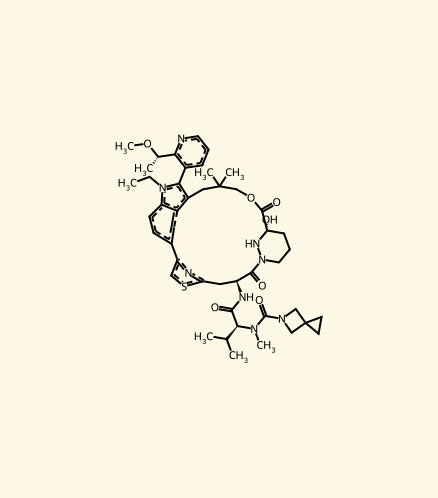 CCn1c(-c2cccnc2[C@H](C)OC)c2c3cc(ccc31)-c1csc(n1)C[C@H](NC(=O)[C@H](C(C)C)N(C)C(=O)N1CC3(CC3)C1)C(=O)N1CCC[C@@](O)(N1)C(=O)OCC(C)(C)C2